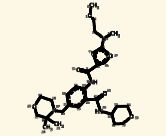 COCCN(C)c1nc(C(=O)Nc2ccc(CN3CCOCC3(C)C)cc2C(=O)NC2CCOCC2)co1